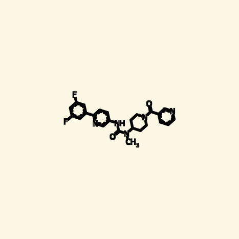 CN(C(=O)Nc1ccc(-c2cc(F)cc(F)c2)nc1)C1CCN(C(=O)c2cccnc2)CC1